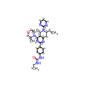 CCNC(=O)Nc1ccc(-c2nc3c(c(N4CCOC[C@@H]4C)n2)C(C)N(c2ncccn2)C(CC)C3)cc1